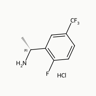 C[C@@H](N)c1cc(C(F)(F)F)ccc1F.Cl